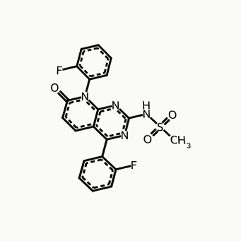 CS(=O)(=O)Nc1nc(-c2ccccc2F)c2ccc(=O)n(-c3ccccc3F)c2n1